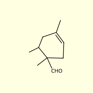 CC1=CCC(C)(C=O)C(C)C1